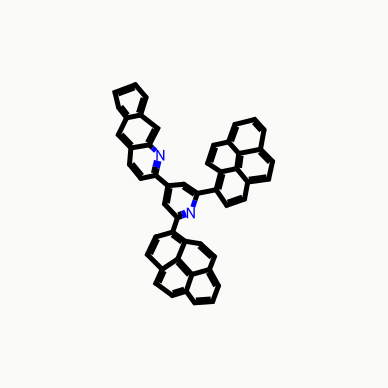 c1ccc2cc3nc(-c4cc(-c5ccc6ccc7cccc8ccc5c6c78)nc(-c5ccc6ccc7cccc8ccc5c6c78)c4)ccc3cc2c1